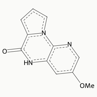 COc1cnc2c(c1)[nH]c(=O)c1cccn12